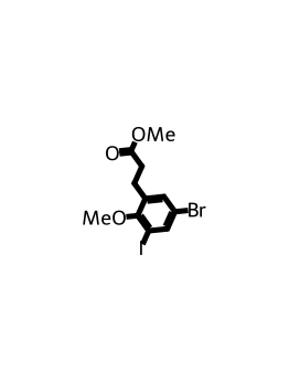 COC(=O)CCc1cc(Br)cc(I)c1OC